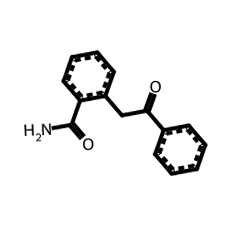 NC(=O)c1ccccc1CC(=O)c1ccccc1